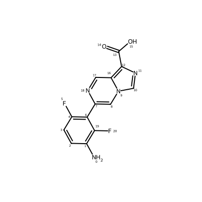 Nc1ccc(F)c(-c2cn3cnc(C(=O)O)c3cn2)c1F